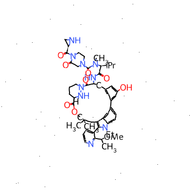 CCn1c(-c2cccnc2[C@H](C)OC)c2c3cc(ccc31)-c1cc(O)cc(c1)C[C@H](NC(=O)[C@H](C(C)C)N(C)C(=O)N1CCN(C(=O)[C@H]3CN3)C(=O)C1)C(=O)N1CCC[C@H](N1)C(=O)OCC(C)(C)C2